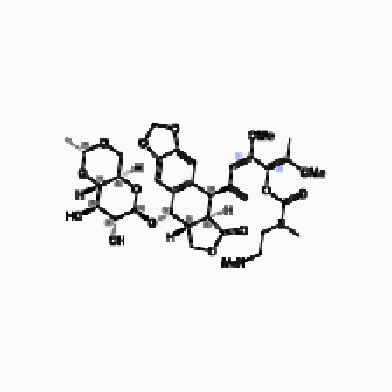 C=C(/C=C(OC)\C(OC(=O)N(C)CCNC)=C(/C)OC)[C@@H]1c2cc3c(cc2[C@@H](O[C@@H]2O[C@@H]4CO[C@@H](C)O[C@H]4[C@H](O)[C@H]2O)[C@H]2COC(=O)[C@@H]21)OCO3